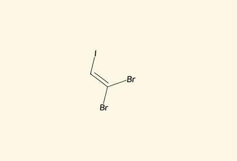 BrC(Br)=CI